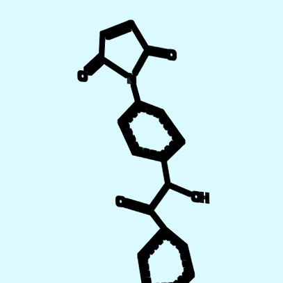 O=C(c1ccccc1)C(O)c1ccc(N2C(=O)C=CC2=O)cc1